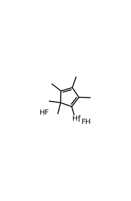 CC1=C(C)C(C)(C)[C]([Hf])=C1C.F.F